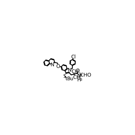 CC(C)(C)Sc1c(CC(C)(C)C(=O)NC=O)n(Cc2ccc(Cl)cc2)c2ccc(OCc3ccc4ccccc4n3)cc12